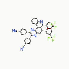 N#Cc1ccc(-c2nc3cc(-c4cc(C(F)(F)F)cc(C(F)(F)F)c4)c4c(-c5ccccc5)nc5ccccc5c4c3nc2-c2ccc(C#N)cc2)cc1